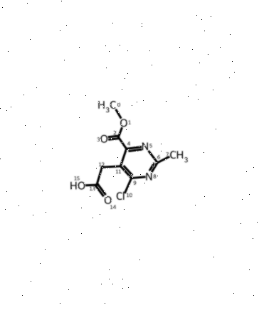 COC(=O)c1nc(C)nc(Cl)c1CC(=O)O